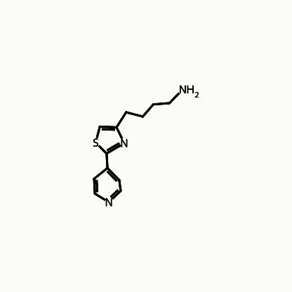 NCCCCc1csc(-c2ccncc2)n1